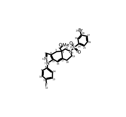 COCC12Cc3cnn(-c4ccc(F)cc4)c3C=C1CCN(S(=O)(=O)c1cccc(Br)c1)C2